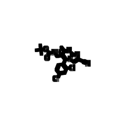 Cc1nc2nc(C#N)cn2c(-c2ccc(Cl)cc2Cl)c1CNC(=O)OC(C)(C)C